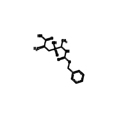 C=C(CP(=O)(O)C(C)NC(=O)OCc1ccccc1)C(=O)O